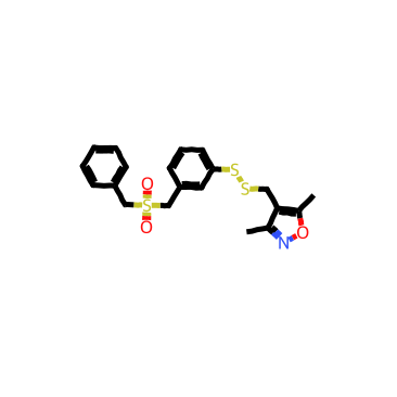 Cc1noc(C)c1CSSc1cccc(CS(=O)(=O)Cc2ccccc2)c1